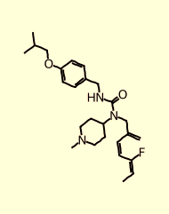 C=C(/C=C\C(F)=C/C)CN(C(=O)NCc1ccc(OCC(C)C)cc1)C1CCN(C)CC1